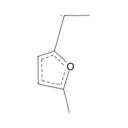 C[CH]c1ccc(C)o1